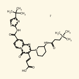 CC(C)(C)c1csc(NC(=O)c2ccn3c(=O)c(C=CC(=O)O)c(N4CCCC(NC(=O)CC[N+](C)(C)C)C4)nc3c2)n1.[I-]